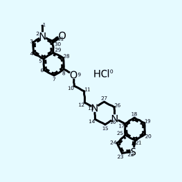 Cl.Cn1ccc2ccc(OCCCN3CCN(c4cccc5sccc45)CC3)cc2c1=O